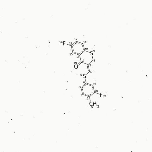 Cc1ccc(SC=C2CSc3ccc(F)cc3C2=O)cc1F